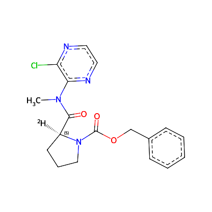 [2H][C@@]1(C(=O)N(C)c2nccnc2Cl)CCCN1C(=O)OCc1ccccc1